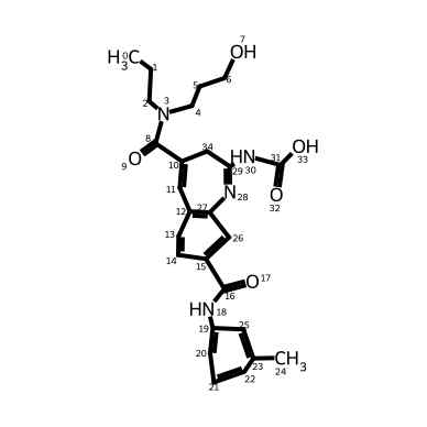 CCCN(CCCO)C(=O)C1=Cc2ccc(C(=O)Nc3cccc(C)c3)cc2N=C(NC(=O)O)C1